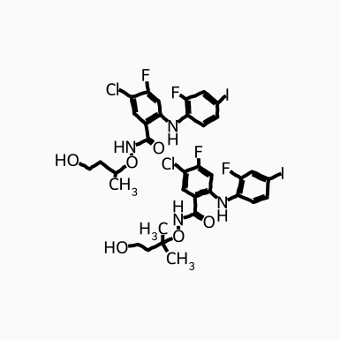 CC(C)(CCO)ONC(=O)c1cc(Cl)c(F)cc1Nc1ccc(I)cc1F.CC(CCO)ONC(=O)c1cc(Cl)c(F)cc1Nc1ccc(I)cc1F